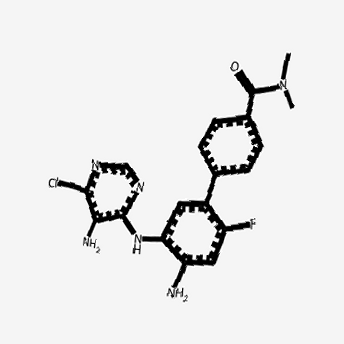 CN(C)C(=O)c1ccc(-c2cc(Nc3ncnc(Cl)c3N)c(N)cc2F)cc1